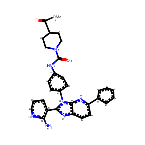 COC(=O)C1CCN(C(=O)Nc2ccc(-n3c(-c4cccnc4N)nc4ccc(-c5ccccc5)nc43)cc2)CC1